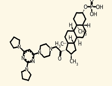 C[C@@H]1C[C@H]2[C@@H]3CC[C@H]4C[C@@H](OP(=O)(O)O)CC[C@]4(C)[C@H]3CC[C@]2(C)[C@H]1C(=O)CN1CCN(c2cc(N3CCCC3)nc(N3CCCC3)n2)CC1